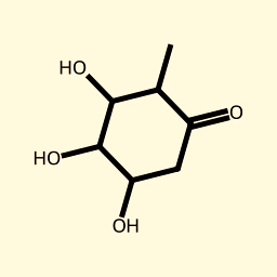 CC1C(=O)CC(O)C(O)C1O